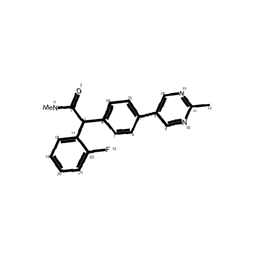 CNC(=O)C(c1ccc(-c2cnc(C)nc2)cc1)c1ccccc1F